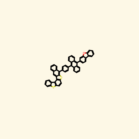 c1ccc2c(-c3ccc(-c4c5ccccc5c(-c5ccc6c(c5)oc5ccccc56)c5ccccc45)cc3)c3sc4ccc5sc6ccccc6c5c4c3cc2c1